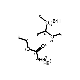 Br.Br.Br.CCOC(C)=O.COC(C)OC